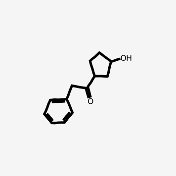 O=C(Cc1ccccc1)C1CCC(O)C1